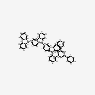 c1ccc(-c2nc(-c3ccccc3)nc(-c3ccccc3-n3c4ccccc4c4cc(-n5c6ccccc6c6cc(-n7c8ccccc8c8ccccc87)ccc65)ccc43)n2)cc1